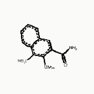 COc1c(C(N)=O)cc2ccccc2c1C(=O)O